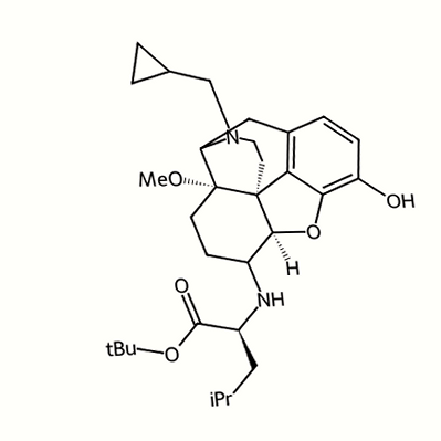 CO[C@@]12CCC(N[C@@H](CC(C)C)C(=O)OC(C)(C)C)[C@@H]3Oc4c(O)ccc5c4[C@@]31CCN(CC1CC1)C2C5